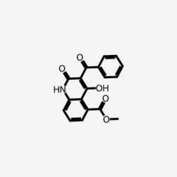 COC(=O)c1cccc2[nH]c(=O)c(C(=O)c3ccccc3)c(O)c12